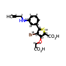 C#CCNc1cccc(-c2sc(C(=O)O)c(OCC(=O)O)c2Br)c1